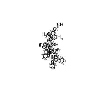 C#CCOc1cc(C)c(S(=O)(=O)OCC(C)(O)C(=O)[C@H](CC(C)C)NC(=O)[C@H](Cc2ccccc2)NC(=O)[C@H](CC(C)C)NC(=O)[C@H](CCc2ccccc2)NC(=O)CN2CCOCC2)c(C)c1